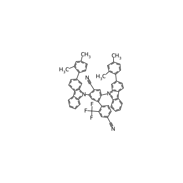 Cc1ccc(-c2ccc3c4ccccc4n(-c4cc(-c5ccc(C#N)cc5C(F)(F)F)c(-n5c6ccccc6c6ccc(-c7ccc(C)cc7C)cc65)cc4C#N)c3c2)c(C)c1